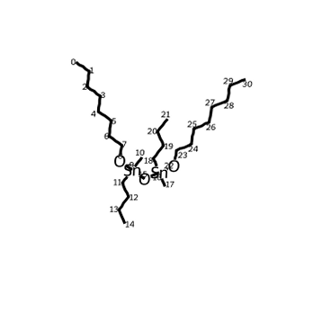 CCCCCCCC[O][Sn]([CH3])([CH2]CCC)[O][Sn]([CH3])([CH2]CCC)[O]CCCCCCCC